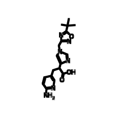 CC(C)(C)c1nc(Cn2cnc(C(Cc3ccc(N)nc3)C(=O)O)c2)no1